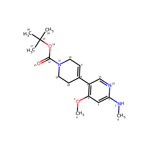 CNc1cc(OC)c(C2=CCN(C(=O)OC(C)(C)C)CC2)cn1